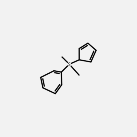 CS(C)(c1ccccc1)C1C=CC=C1